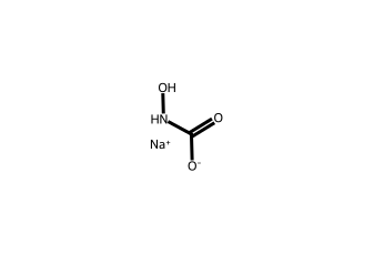 O=C([O-])NO.[Na+]